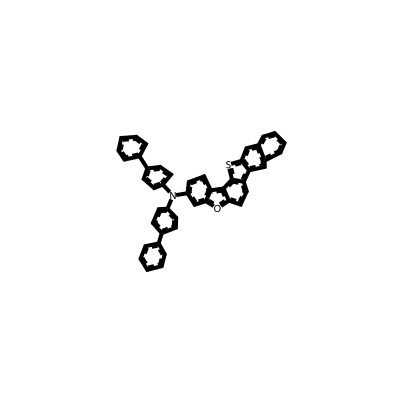 c1ccc(-c2ccc(N(c3ccc(-c4ccccc4)cc3)c3ccc4c(c3)oc3ccc5c6cc7ccccc7cc6sc5c34)cc2)cc1